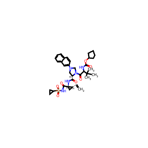 C=C[C@@H]1C[C@]1(NC(=O)[C@@H]1CN(c2ccc3ccccc3c2)CN1C(=O)C(NC(=O)OC1CCCC1)C(C)(C)C)C(=O)NS(=O)(=O)C1CC1